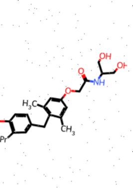 Cc1cc(OCC(=O)NC(CO)CO)cc(C)c1Cc1ccc(O)c(C(C)C)c1